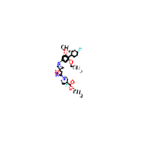 CCOC(=O)C1(F)CCN(C2=NOC3(C2)CN(Cc2cc(OCC)c(-c4ccc(F)cc4)c(OCC)c2)C3)CC1